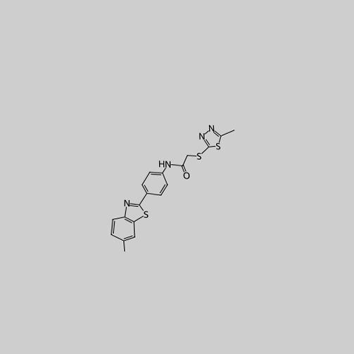 Cc1ccc2nc(-c3ccc(NC(=O)CSc4nnc(C)s4)cc3)sc2c1